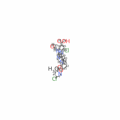 C[C@@]1(c2ccc(Cl)cn2)Oc2cccc(N3CCN(Cc4nc5c(Cl)cc(C(=O)O)cc5n4C[C@@H]4CCO4)[C@@H]4CC[C@@H]43)c2O1